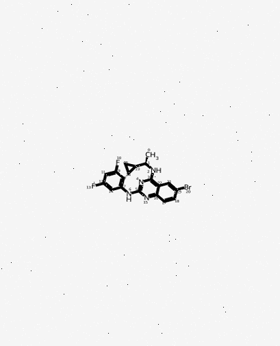 C[C@@H](Nc1nc(Nc2cc(F)cc(F)c2)nc2ccc(Br)cc12)C1CC1